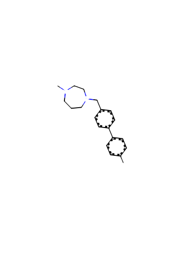 CCc1ccc(-c2ccc(CN3CCCN(C)CC3)cc2)cc1